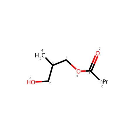 CCCC(=O)OCC(C)CO